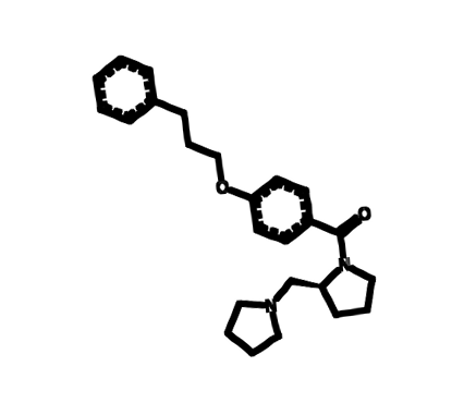 O=C(c1ccc(OCCCc2ccccc2)cc1)N1CCC[C@H]1CN1CCCC1